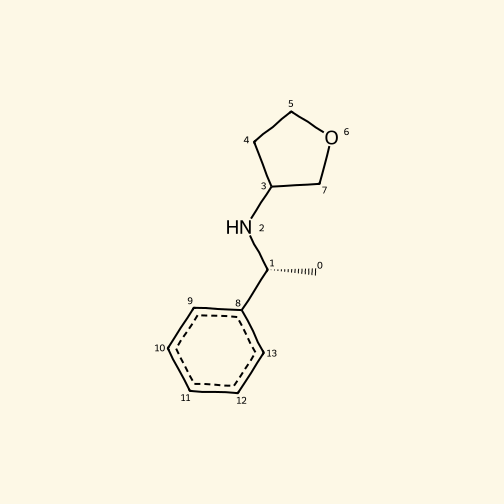 C[C@@H](NC1CCOC1)c1ccccc1